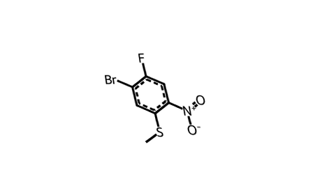 CSc1cc(Br)c(F)cc1[N+](=O)[O-]